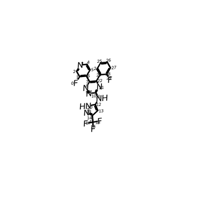 Fc1cnccc1-c1nnc(Nc2cc(C(F)(F)F)n[nH]2)nc1-c1ccccc1F